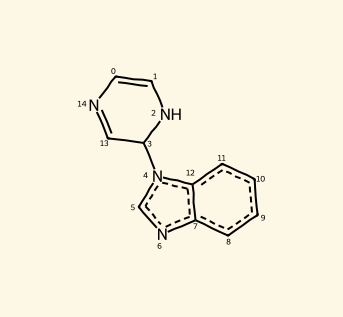 C1=CNC(n2cnc3ccccc32)C=N1